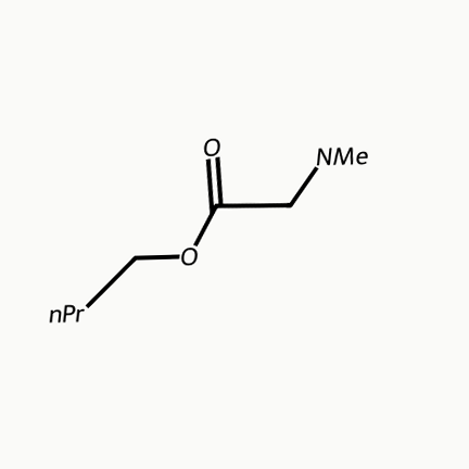 CCCCOC(=O)CNC